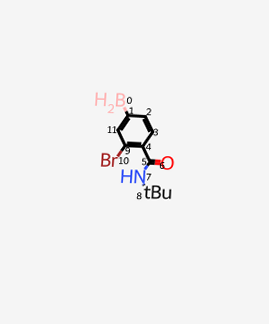 Bc1ccc(C(=O)NC(C)(C)C)c(Br)c1